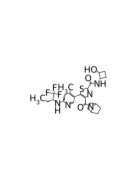 CC[C@H](Nc1cc(C)c(-c2sc(C(=O)N[C@H]3CC[C@@H]3O)nc2C(=O)N2C3CCC2CC3)cn1)C(F)(F)F